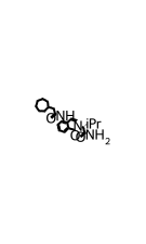 CC(C)[C@H](C(N)=O)n1ccc2c(NC(=O)CC3CCCCCC3)cccc2c1=O